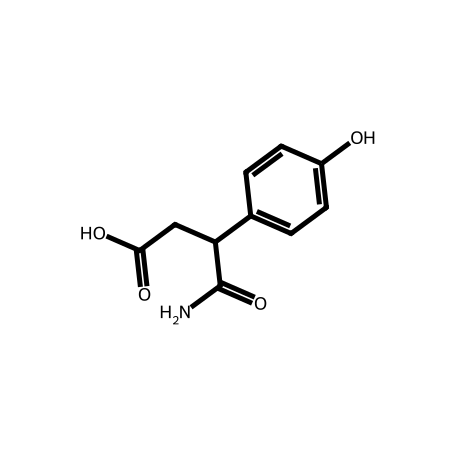 NC(=O)C(CC(=O)O)c1ccc(O)cc1